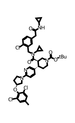 Cc1cc(Cl)c(O[C@@H]2CCN(c3ccc([C@H]4CCN(C(=O)OC(C)(C)C)C[C@@H]4C(=O)N(Cc4cc(CC(=O)NC5CC5)ccc4Cl)C4CC4)cn3)C2)c(Cl)c1